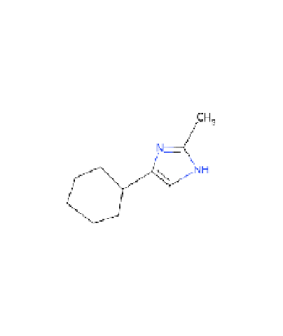 Cc1nc(C2CCCCC2)c[nH]1